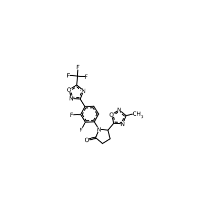 Cc1noc(C2CCC(=O)N2c2ccc(-c3noc(C(F)(F)F)n3)c(F)c2F)n1